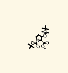 COC(=O)[C@H]1C(O[Si](C)(C)C(C)(C)C)CCN1C(=O)OC(C)(C)C